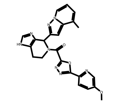 COc1ccc(-c2nnc(C(=O)N3CCc4[nH]cnc4C3c3cc4c(C)cccn4n3)o2)nc1